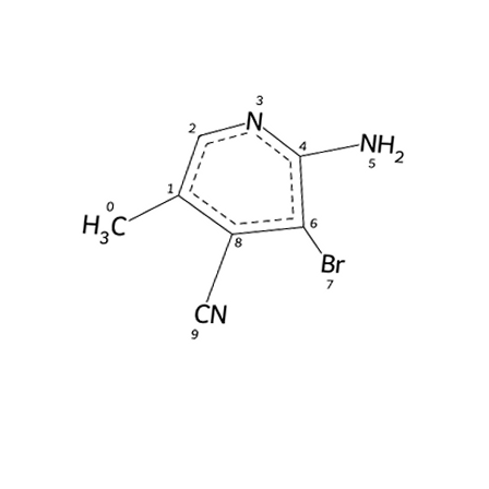 Cc1cnc(N)c(Br)c1C#N